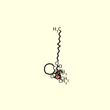 CCCCCCCCCCCCCCOC(=O)CCC12C(=O)C3(CC(C)(C)C([N+]1=[N-])C(C)(C)C3)OC21CCCCCCCCCCC1